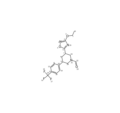 CCOc1noc(C2CC(c3ccc(C(F)(F)F)cc3)CN(C=O)C2)n1